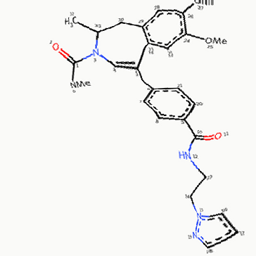 CNC(=O)N1C=C(c2ccc(C(=O)NCCn3cccn3)cc2)c2cc(OC)c(OC)cc2CC1C